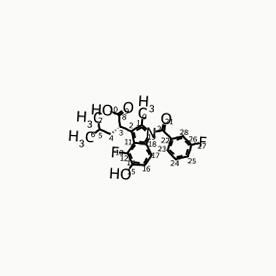 Cc1c([C@H](CC(C)C)C(=O)O)c2c(F)c(O)ccc2n1C(=O)c1cccc(F)c1